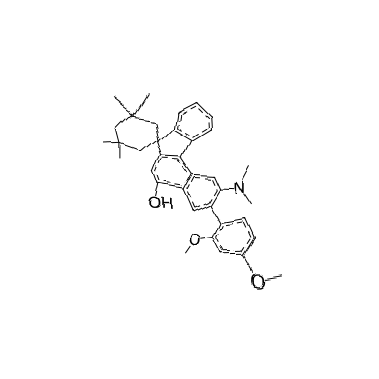 COc1ccc(-c2cc3c(O)cc4c(c3cc2N(C)C)-c2ccccc2C42CC(C)(C)CC(C)(C)C2)c(OC)c1